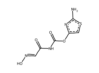 Nc1nc(OC(=O)NC(=O)C=NO)cs1